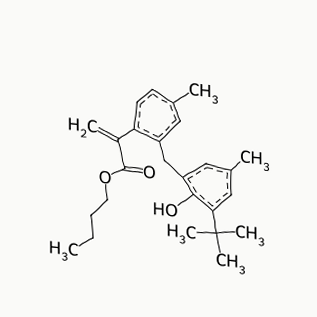 C=C(C(=O)OCCCC)c1ccc(C)cc1Cc1cc(C)cc(C(C)(C)C)c1O